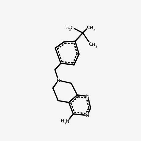 CC(C)(C)c1ccc(CN2CCc3c(N)ncnc3C2)cc1